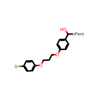 CCCCCC(O)c1ccc(OCCCOc2ccc(Br)cc2)cc1